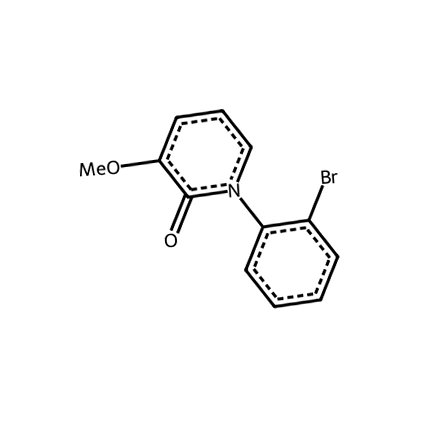 COc1cccn(-c2ccccc2Br)c1=O